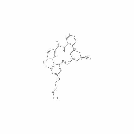 COCCOc1cc(F)c(-c2nc(C(=O)Nc3cnccc3[C@@H]3C[C@H](C)C[C@H](N)C3)ccc2F)c(F)c1